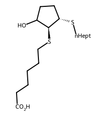 CCCCCCCS[C@H]1CCC(O)[C@@H]1SCCCCCC(=O)O